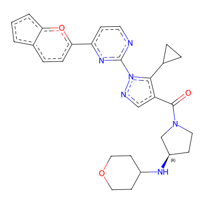 O=C(c1cnn(-c2nccc(-c3ccc4cccc-4o3)n2)c1C1CC1)N1CC[C@@H](NC2CCOCC2)C1